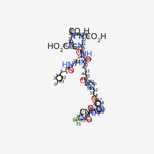 Cc1ccc(CCCC(=O)NCCSCC(NC(=O)CN2CCN(CC(=O)O)CCN(CC(=O)O)CCN(CC(=O)O)CC2)C(=O)NCCCCCC(=O)N2CCN(CCCOc3ccc4nccc(C(=O)NCC(=O)N5CC(F)(F)C[C@@H]5C#N)c4c3)CC2)cc1